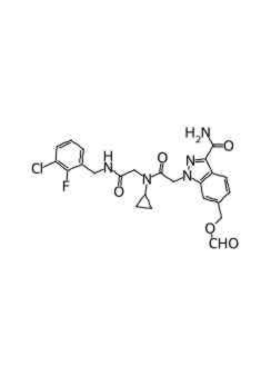 NC(=O)c1nn(CC(=O)N(CC(=O)NCc2cccc(Cl)c2F)C2CC2)c2cc(COC=O)ccc12